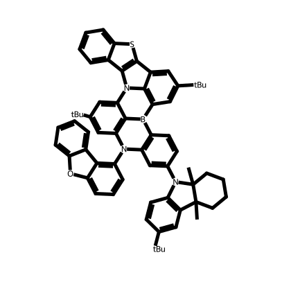 CC(C)(C)c1cc2c3c(c1)-n1c4c(cc(C(C)(C)C)cc4c4sc5ccccc5c41)B3c1ccc(N3c4ccc(C(C)(C)C)cc4C4(C)CCCCC34C)cc1N2c1cccc2oc3ccccc3c12